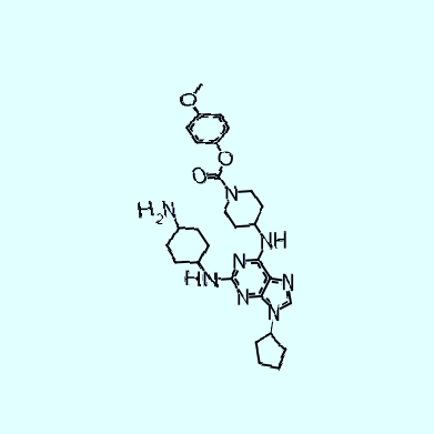 COc1ccc(OC(=O)N2CCC(Nc3nc(NC4CCC(N)CC4)nc4c3ncn4C3CCCC3)CC2)cc1